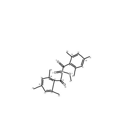 COP(=O)(C(=O)c1c(C)cc(C)cc1C)C(=O)c1c(C)cc(C)cc1C